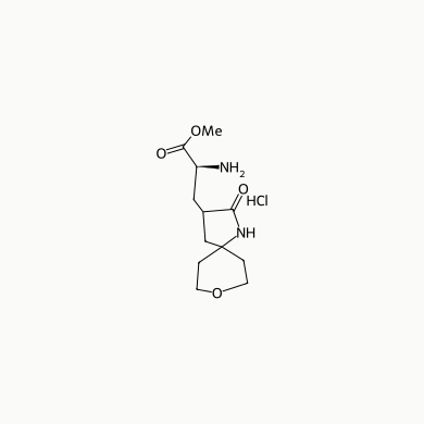 COC(=O)[C@@H](N)CC1CC2(CCOCC2)NC1=O.Cl